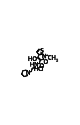 CCn1c(=O)c(C(=O)NCCCN2CCCCC2)c(O)c2ccsc21.Cl